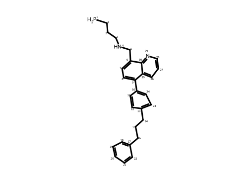 PCCCNCc1ccc(-c2ccc(CCCc3ccccc3)cc2)c2cccnc12